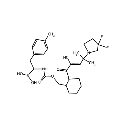 Cc1ccc(CC(NC(=O)OCC2CCCCN2C(=O)C(C#N)=CC(C)(C)N2CCC(F)(F)C2)B(O)O)cc1